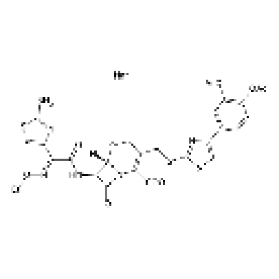 CCON=C(C(=O)N[C@@H]1C(=O)N2C(C(=O)[O-])=C(CSc3nc(-c4ccc(OC(C)=O)c(OC(C)=O)c4)cs3)CS[C@@H]12)c1csc(N)n1.[Na+]